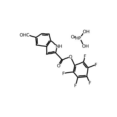 O=Cc1ccc2[nH]c(C(=O)Oc3c(F)c(F)c(F)c(F)c3F)cc2c1.O=[PH](O)O